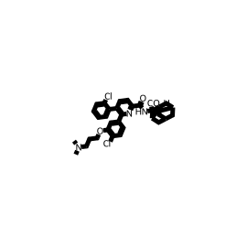 CN(C)CCCOc1cc(-c2nc(C(=O)NC3(C(=O)O)C4CC5CC(C4)CC3C5)ccc2-c2ccccc2Cl)ccc1Cl